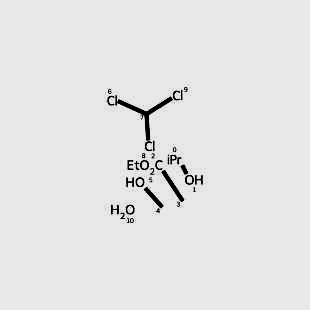 CC(C)O.CCOC(C)=O.CO.ClC(Cl)Cl.O